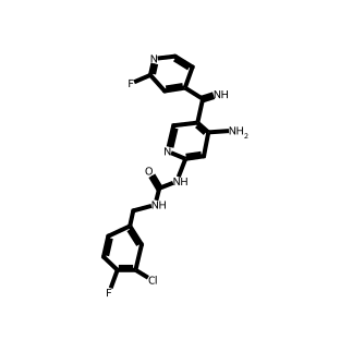 N=C(c1ccnc(F)c1)c1cnc(NC(=O)NCc2ccc(F)c(Cl)c2)cc1N